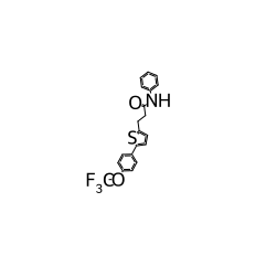 O=C(CCc1ccc(-c2ccc(OC(F)(F)F)cc2)s1)Nc1ccccc1